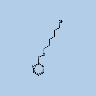 OCCCCCCSSc1ccccn1